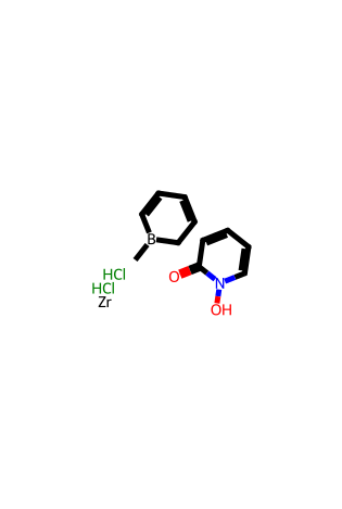 CB1C=CC=CC1.Cl.Cl.O=c1ccccn1O.[Zr]